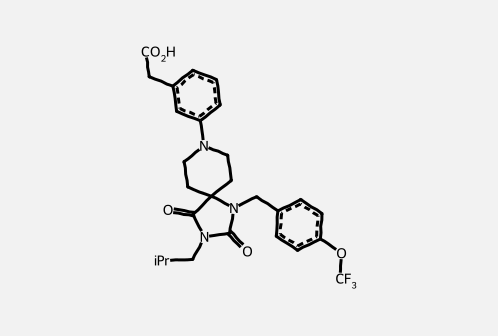 CC(C)CN1C(=O)N(Cc2ccc(OC(F)(F)F)cc2)C2(CCN(c3cccc(CC(=O)O)c3)CC2)C1=O